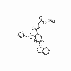 CC(C)(C)OC(=O)CNC(=O)c1cnc(N2CCc3ccccc32)nc1NCc1cccs1